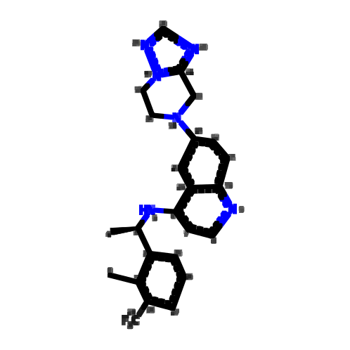 Cc1c([C@@H](C)Nc2ccnc3ccc(N4CCn5ncnc5C4)cc23)cccc1C(F)(F)F